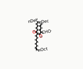 CCCCCCCC/C=C\CCCCCCC(C(=O)CCCCCCCCCCCCCCC)C(=O)C([C]=O)CCCCCCCCCCCCCC